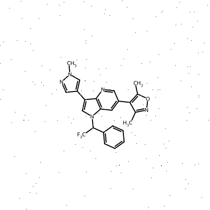 Cc1noc(C)c1-c1cnc2c(-c3cnn(C)c3)cn(C(c3ccccc3)C(F)(F)F)c2c1